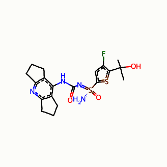 CC(C)(O)c1sc([S@@](N)(=O)=NC(=O)Nc2c3c(nc4c2CCC4)CCC3)cc1F